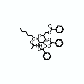 CCCCCO[C@@H]1OC(COC(=O)c2ccccc2)[C@H](OC(=O)c2ccccc2)C(OC(=O)c2ccccc2)C1NC(C)=O